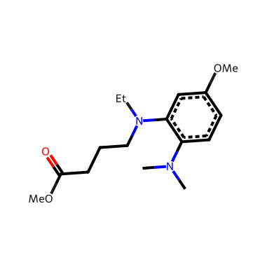 CCN(CCCC(=O)OC)c1cc(OC)ccc1N(C)C